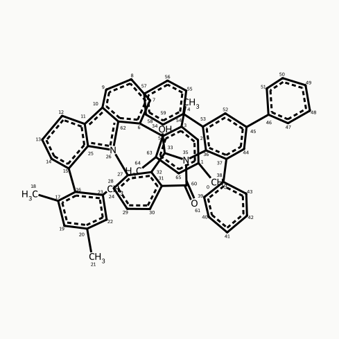 Cc1cc(C)c(-c2cccc3c4cccc(-c5c(C)cc(C)cc5C)c4n(-c4cccc5c4C(O)N(c4c(-c6ccccc6)cc(-c6ccccc6)cc4-c4ccccc4)C5=O)c23)c(C)c1